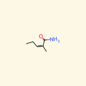 CCC=C(C)C(N)=O